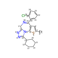 CCc1cc2c(s1)-n1c(nnc1C1CCCCC1)CN=C2c1ccccc1Cl